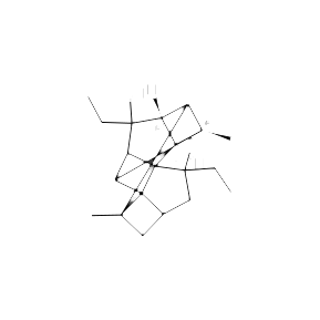 CCC1(S)C2C3C45C6CC(S)(CC)C24[C@H]2[C@H]1C(C5(C)C6)[C@]32C